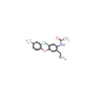 BCc1cc(Oc2ccc(C(F)(F)F)cc2)c(Cl)cc1NC(=O)C(F)(F)F